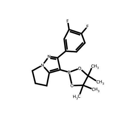 CC1(C)OB(c2c(-c3ccc(F)c(F)c3)nn3c2CCC3)OC1(C)C